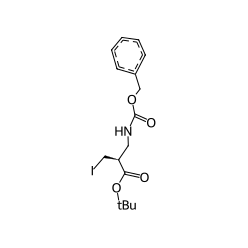 CC(C)(C)OC(=O)[C@@H](CI)CNC(=O)OCc1ccccc1